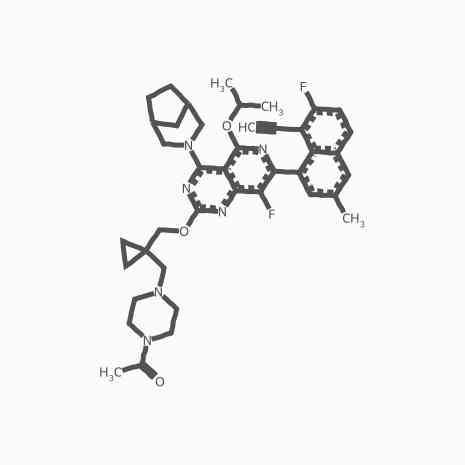 C#Cc1c(F)ccc2cc(C)cc(-c3nc(OC(C)C)c4c(N5CC6CCC(C6)C5)nc(OCC5(CN6CCN(C(C)=O)CC6)CC5)nc4c3F)c12